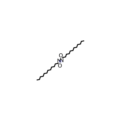 CCCCCCCCCCCC(=O)/N=N/C(=O)CCCCCCCCCCC